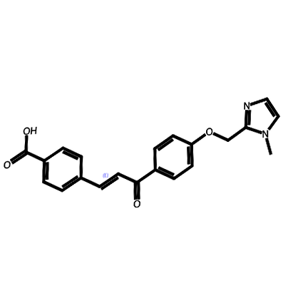 Cn1ccnc1COc1ccc(C(=O)/C=C/c2ccc(C(=O)O)cc2)cc1